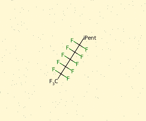 CCCC(C)C(F)(F)C(F)(F)C(F)(F)C(F)(F)C(F)(F)C(F)(F)F